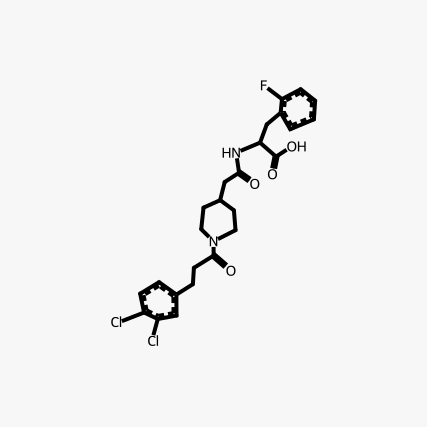 O=C(CC1CCN(C(=O)CCc2ccc(Cl)c(Cl)c2)CC1)NC(Cc1ccccc1F)C(=O)O